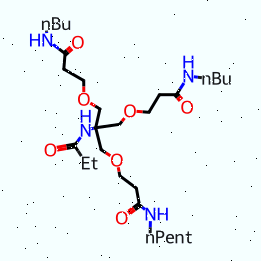 CCCCCNC(=O)CCOCC(COCCC(=O)NCCCC)(COCCC(=O)NCCCC)NC(=O)CC